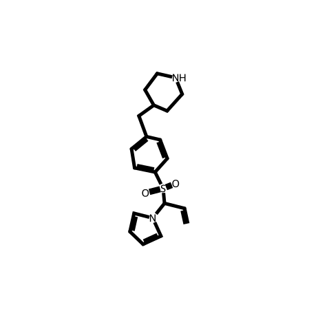 C=CC(n1cccc1)S(=O)(=O)c1ccc(CC2CCNCC2)cc1